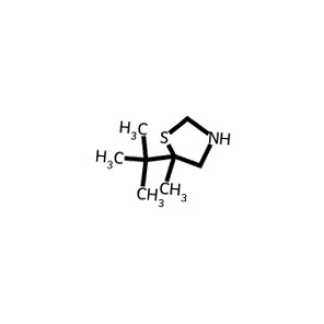 CC(C)(C)C1(C)CNCS1